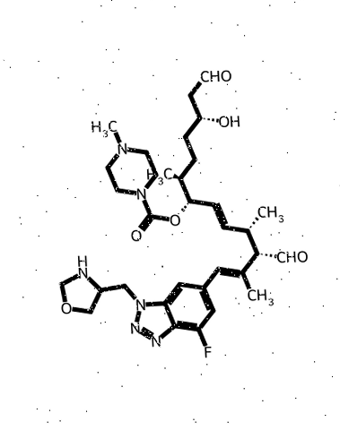 C/C(=C\c1cc(F)c2nnn(CC3COCN3)c2c1)[C@@H](C=O)[C@@H](C)/C=C/[C@H](OC(=O)N1CCN(C)CC1)[C@@H](C)CC[C@@H](O)CC=O